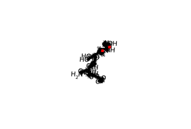 Cc1[nH]nc(CC23CC4(CCCN(CC[C@H](O)CO)C(=O)OCc5ccc(NC(=O)[C@H](CCCNC(N)=O)NC(=O)[C@@H](NC(=O)CCOCCN6C(=O)C=CC6=O)C(C)C)cc5)C[C@@](C)(C2)C[C@](C)(C4)C3)c1-c1cccnc1C(=O)O